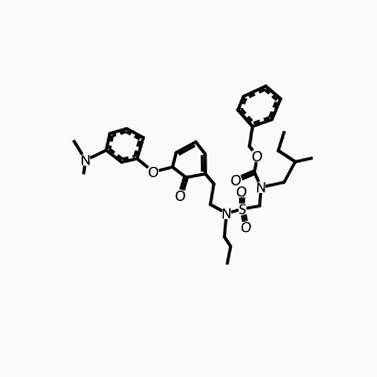 CCCN(CCC1=CC=CC(Oc2cccc(N(C)C)c2)C1=O)S(=O)(=O)CN(CC(C)CC)C(=O)OCc1ccccc1